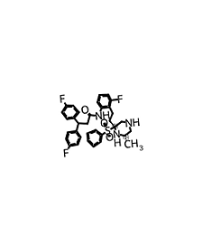 C[C@H]1CNC[C@@](CCc2c(F)cccc2NC(=O)CC(c2ccc(F)cc2)c2ccc(F)cc2)(S(=O)(=O)c2ccccc2)N1